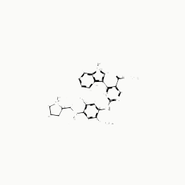 COC(=O)c1cnc(Nc2cc([N+](=O)[O-])c(N(C)CC3CCCN3C)cc2OC)nc1-c1cn(C)c2ccccc12